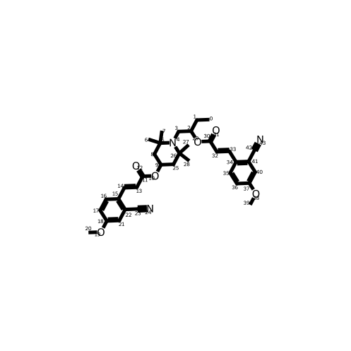 CCC(CN1C(C)(C)CC(OC(=O)/C=C/c2ccc(OC)cc2C#N)CC1(C)C)OC(=O)/C=C/c1ccc(OC)cc1C#N